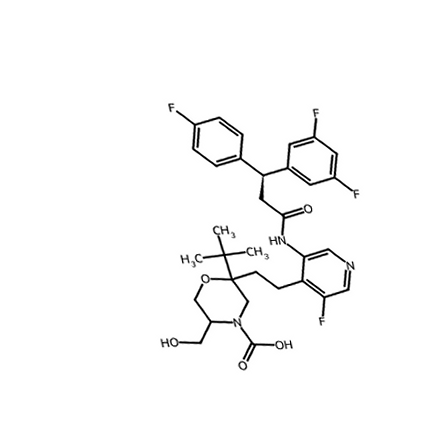 CC(C)(C)C1(CCc2c(F)cncc2NC(=O)C[C@@H](c2ccc(F)cc2)c2cc(F)cc(F)c2)CN(C(=O)O)C(CO)CO1